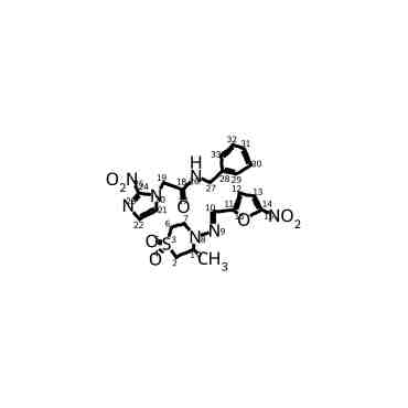 CC1CS(=O)(=O)CCN1N=Cc1ccc([N+](=O)[O-])o1.O=C(Cn1ccnc1[N+](=O)[O-])NCc1ccccc1